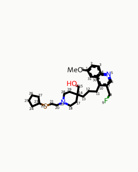 COc1ccc2ncc(CF)c(CCCC3(CO)CCN(CCSC4CCCC4)CC3)c2c1